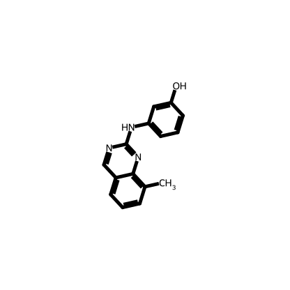 Cc1cccc2cnc(Nc3cccc(O)c3)nc12